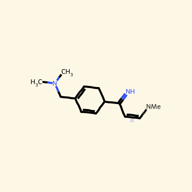 CN/C=C\C(=N)C1C=CC(CN(C)C)=CC1